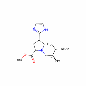 CCC[C@@H](CN1CC(c2ncc[nH]2)CC1C(=O)OC(C)(C)C)C(C)NC(C)=O